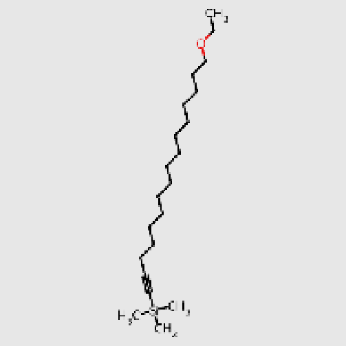 CCOCCCCCCCCCCCCCCC#C[Si](C)(C)C